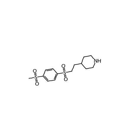 CS(=O)(=O)c1ccc(S(=O)(=O)CCC2CCNCC2)cc1